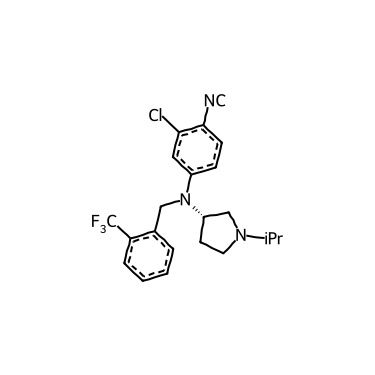 [C-]#[N+]c1ccc(N(Cc2ccccc2C(F)(F)F)[C@H]2CCN(C(C)C)C2)cc1Cl